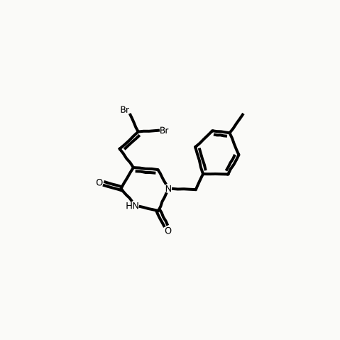 Cc1ccc(Cn2cc(C=C(Br)Br)c(=O)[nH]c2=O)cc1